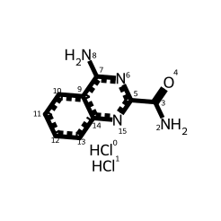 Cl.Cl.NC(=O)c1nc(N)c2ccccc2n1